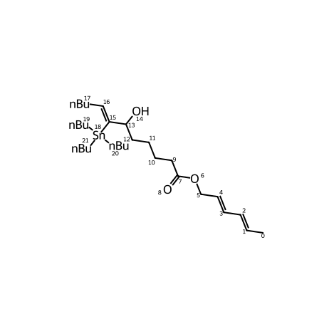 C/C=C/C=C/COC(=O)CCCCC(O)/[C](=C/CCCC)[Sn]([CH2]CCC)([CH2]CCC)[CH2]CCC